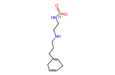 O=[SH](=O)NCCNCCCC1=CCC=CC1